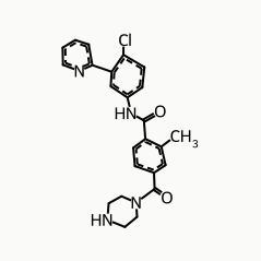 Cc1cc(C(=O)N2CCNCC2)ccc1C(=O)Nc1ccc(Cl)c(-c2ccccn2)c1